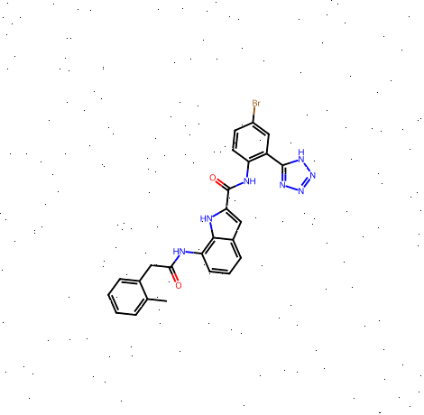 Cc1ccccc1CC(=O)Nc1cccc2cc(C(=O)Nc3ccc(Br)cc3-c3nnn[nH]3)[nH]c12